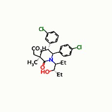 CCC([C@@H](O)CC)N1C(=O)[C@@](C)(CC(=O)O)C[C@H](c2cccc(Cl)c2)C1c1ccc(Cl)cc1